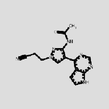 CC(=O)Nc1nn(CCC#N)cc1-c1ncnc2[nH]ccc12